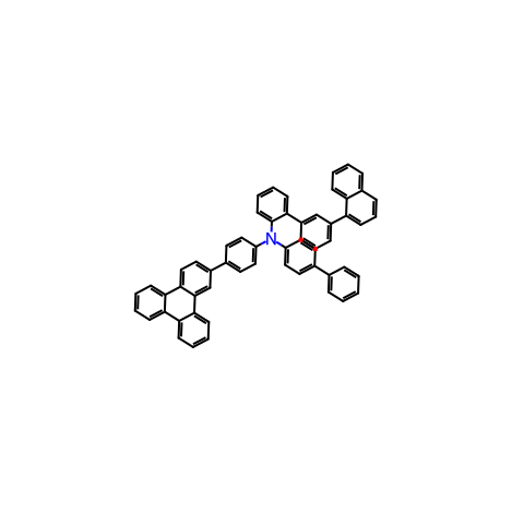 c1ccc(-c2ccc(N(c3ccc(-c4ccc5c6ccccc6c6ccccc6c5c4)cc3)c3ccccc3-c3cccc(-c4cccc5ccccc45)c3)cc2)cc1